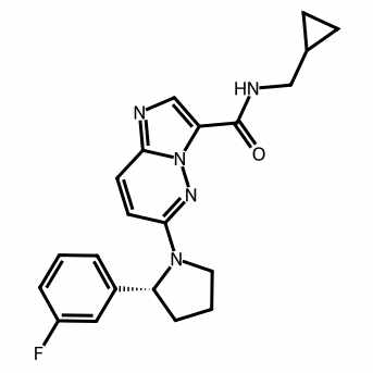 O=C(NCC1CC1)c1cnc2ccc(N3CCC[C@@H]3c3cccc(F)c3)nn12